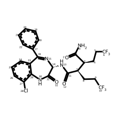 NC(=O)[C@@H](CCC(F)(F)F)[C@@H](CCC(F)(F)F)C(=O)N[C@H]1N=C(c2ccccc2)c2cccc(Cl)c2NC1=O